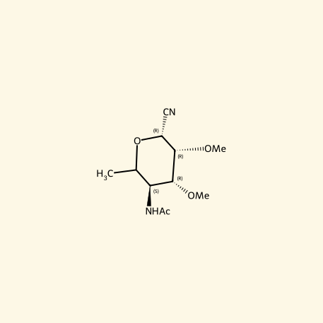 CO[C@@H]1[C@H](OC)[C@@H](NC(C)=O)C(C)O[C@@H]1C#N